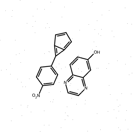 O=[N+]([O-])c1ccc(-c2c3cccc2-3)cc1.Oc1ccc2nccnc2c1